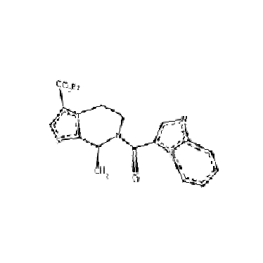 CCOC(=O)c1csc2c1CCN(C(=O)c1cnc3ccccn13)C2C